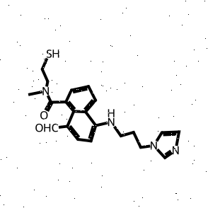 CN(CCS)C(=O)c1cccc2c(NCCCn3ccnc3)ccc(C=O)c12